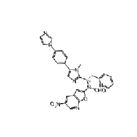 Cn1c(-c2ccc(-n3ccnc3)cc2)cnc1[C@H](Cc1ccccn1)N(C=O)c1cc2cc([N+](=O)[O-])cnc2o1